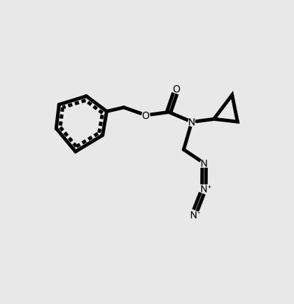 [N-]=[N+]=NCN(C(=O)OCc1ccccc1)C1CC1